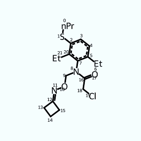 CCCSc1ccc(CC)c(N(CON=C2CCC2)C(=O)CCl)c1CC